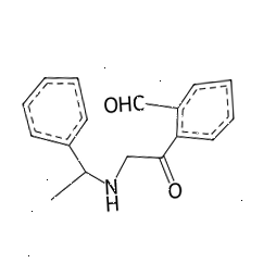 CC(NCC(=O)c1ccccc1C=O)c1ccccc1